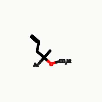 C=CCC(C)(OC(=O)OCC)C(C)=O